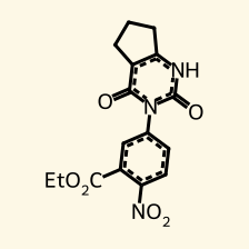 CCOC(=O)c1cc(-n2c(=O)[nH]c3c(c2=O)CCC3)ccc1[N+](=O)[O-]